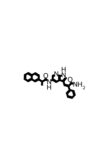 CC(C(=O)Nc1cnc2[nH]cc(C=C(C(N)=O)c3ccccc3)c2c1)c1ccc2ccccc2c1